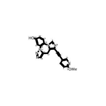 COc1ccc(C#Cc2ncn3c2Cc2cnnn2-c2cc(O)ccc2-3)cn1